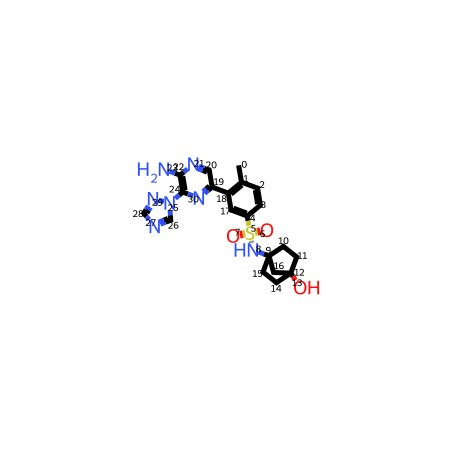 Cc1ccc(S(=O)(=O)NC23CCC(O)(CC2)C3)cc1-c1cnc(N)c(-n2cncn2)n1